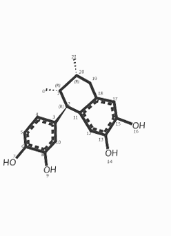 C[C@H]1[C@H](c2ccc(O)c(O)c2)c2cc(O)c(O)cc2C[C@H]1C